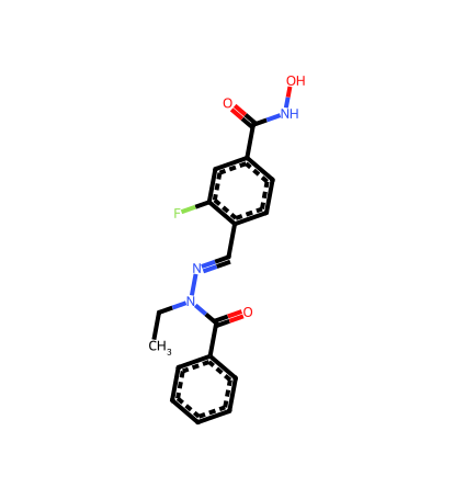 CCN(N=Cc1ccc(C(=O)NO)cc1F)C(=O)c1ccccc1